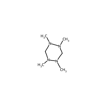 CN1CN(C)N(C)CN1C